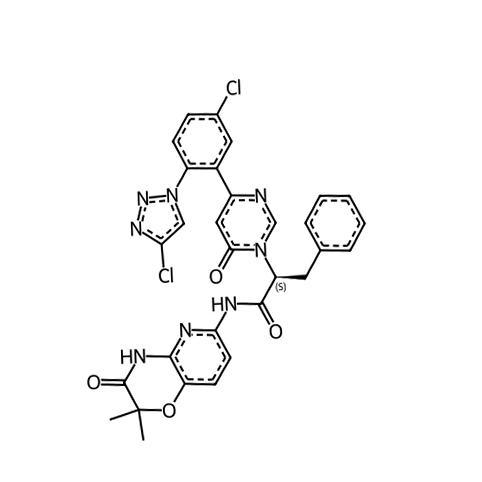 CC1(C)Oc2ccc(NC(=O)[C@H](Cc3ccccc3)n3cnc(-c4cc(Cl)ccc4-n4cc(Cl)nn4)cc3=O)nc2NC1=O